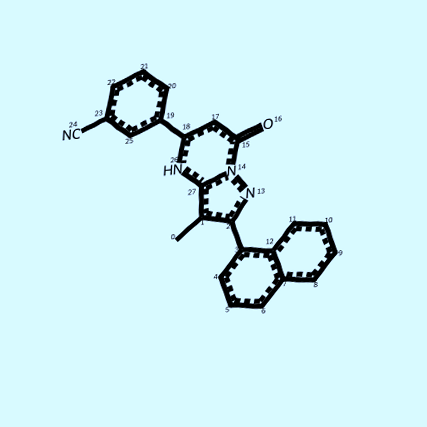 Cc1c(-c2cccc3ccccc23)nn2c(=O)cc(-c3cccc(C#N)c3)[nH]c12